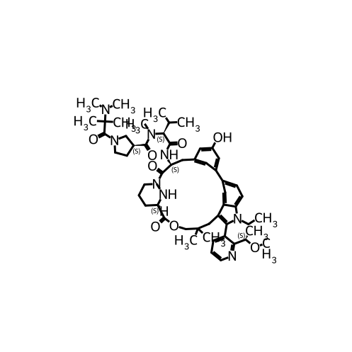 CCn1c(-c2cccnc2[C@H](C)OC)c2c3cc(ccc31)-c1cc(O)cc(c1)C[C@H](NC(=O)[C@H](C(C)C)N(C)C(=O)[C@H]1CCN(C(=O)C(C)(C)N(C)C)C1)C(=O)N1CCC[C@H](N1)C(=O)OCC(C)(C)C2